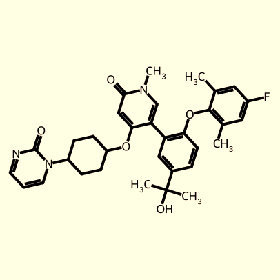 Cc1cc(F)cc(C)c1Oc1ccc(C(C)(C)O)cc1-c1cn(C)c(=O)cc1OC1CCC(n2cccnc2=O)CC1